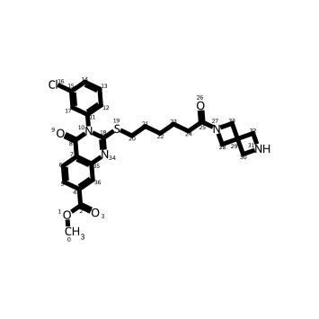 COC(=O)c1ccc2c(=O)n(-c3cccc(Cl)c3)c(SCCCCCC(=O)N3CC4(CNC4)C3)nc2c1